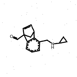 O=CC12C=CC(C1)c1c(CNC3CC3)cccc12